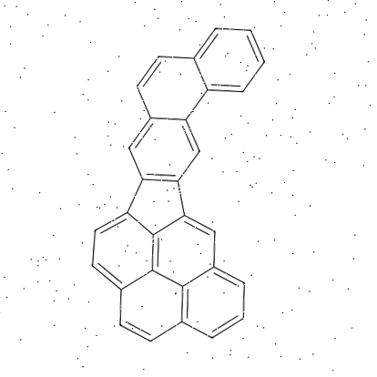 c1ccc2c(c1)ccc1cc3c(cc12)-c1cc2cccc4ccc5ccc-3c1c5c42